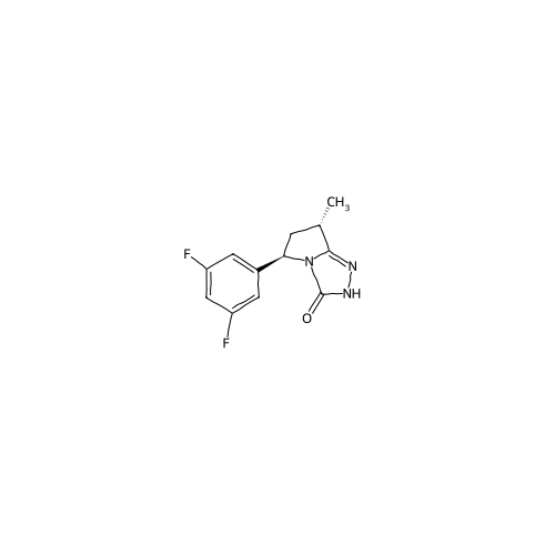 C[C@H]1C[C@H](c2cc(F)cc(F)c2)n2c1n[nH]c2=O